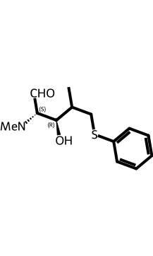 CN[C@H](C=O)[C@H](O)C(C)CSc1ccccc1